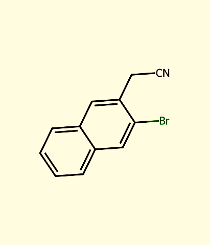 N#CCc1cc2ccccc2cc1Br